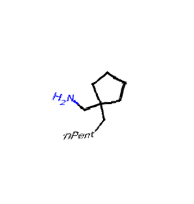 CCCC[CH]CC1(CN)CCCC1